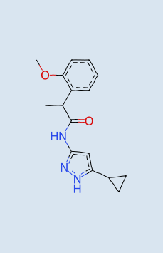 COc1ccccc1C(C)C(=O)Nc1cc(C2CC2)[nH]n1